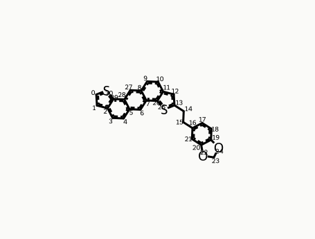 c1cc2ccc3cc4c(ccc5cc(CCc6ccc7c(c6)OCO7)sc54)cc3c2s1